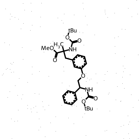 COC(=O)C(C)(Cc1cccc(OCC(NC(=O)OC(C)(C)C)c2ccccc2)c1)NC(=O)OC(C)(C)C